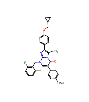 COc1ccc(-c2cn(Cc3c(F)cccc3F)c3nc(-c4ccc(OCC5CC5)cc4)c(C)n3c2=O)cc1